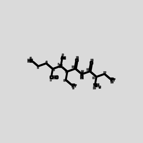 CC(=O)N(C(C=O)CCS)C(CC(C)C)C(=O)NC(=O)C(N)CC(C)C